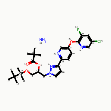 CC(C)(C)C(=O)OC(CO[Si](C)(C)C(C)(C)C)Cn1ccc(-c2ccc(Oc3ncc(Cl)cc3F)cn2)n1.N